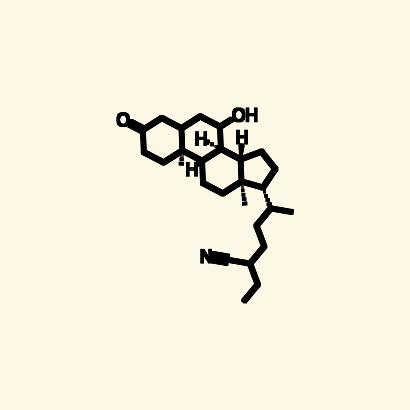 CCC(C#N)CCC(C)[C@H]1CC[C@H]2[C@@H]3C(O)CC4CC(=O)CC[C@]4(C)[C@H]3CC[C@]12C